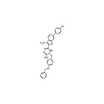 Cc1c(C(=O)N[C@@H](Cc2ccc(OCc3ccccc3)cc2)C(=O)O)oc2cc(-c3ccc(Cl)cc3)ccc12